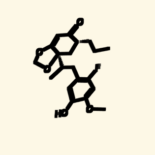 CCC[C@@H]1C[C@@]2(C(C)Cc3cc(O)c(OC)cc3F)OCOC2=CC1=O